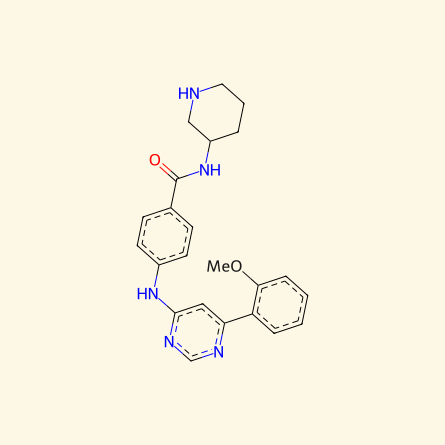 COc1ccccc1-c1cc(Nc2ccc(C(=O)NC3CCCNC3)cc2)ncn1